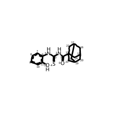 O=C(NC(=S)Nc1ccccc1O)C12CC3CC(CC(C3)C1)C2